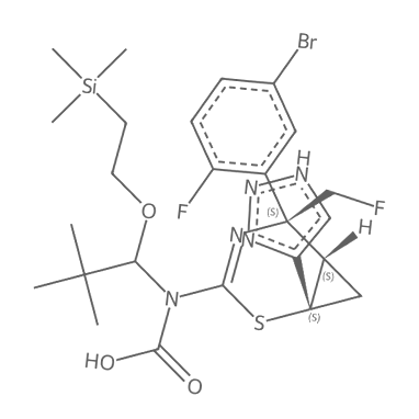 CC(C)(C)C(OCC[Si](C)(C)C)N(C(=O)O)C1=N[C@](CF)(c2cc(Br)ccc2F)[C@@H]2C[C@]2(c2c[nH]nn2)S1